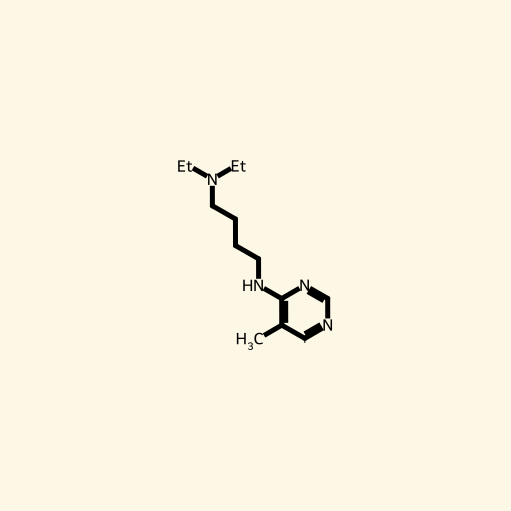 CCN(CC)CCCCNc1ncn[c]c1C